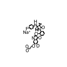 COc1cc2c(Oc3cccc(NC(=O)C4(C(=O)Nc5ccc(F)cc5)CC4)c3Cl)ccnc2cc1OCCC(=O)[O-].[Na+]